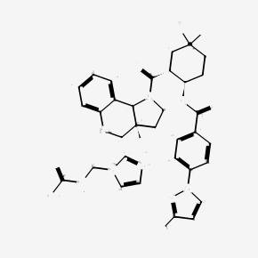 Cc1ccn(-c2ccc(C(=O)N[C@@H]3CCC(F)(F)C[C@@H]3C(=O)N3CC[C@H]4C3c3ccccc3N[C@H]4c3nccn3COC(=O)C(C)(C)C)cc2)n1